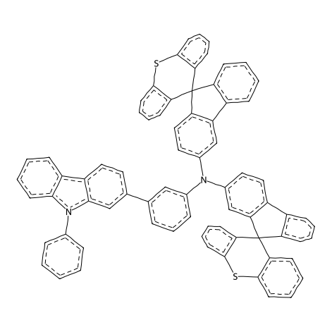 c1ccc(-n2c3ccccc3c3ccc(-c4cccc(N(c5ccc6c(c5)-c5ccccc5C65c6ccccc6Sc6ccccc65)c5ccc6c(c5)C5(c7ccccc7Sc7ccccc75)c5ccccc5-6)c4)cc32)cc1